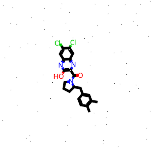 Cc1ccc(CC2CCCN2C(=O)c2nc3cc(Cl)c(Cl)cc3nc2O)cc1C